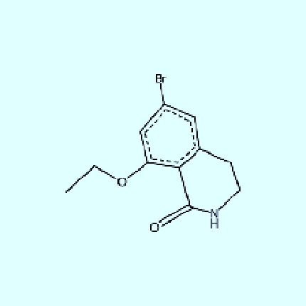 CCOc1cc(Br)cc2c1C(=O)NCC2